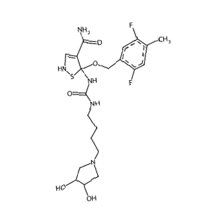 Cc1cc(F)c(COC2(NC(=O)NCCCCN3CC(O)C(O)C3)SNC=C2C(N)=O)cc1F